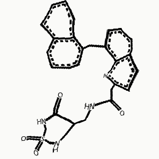 O=C(NCC1NS(=O)(=O)NC1=O)c1ccc2cccc(-c3cccc4ccccc34)c2n1